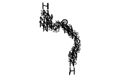 Nc1ncnc2c1c(-c1cnc3[nH]ccc3c1)nn2Cc1ccc2c(c1)CCN(C(=O)c1cnc(N3CCN(CCOCCN4CCN(c5ncc6c(n5)CCNC6)CC4)CC3)nc1)C2